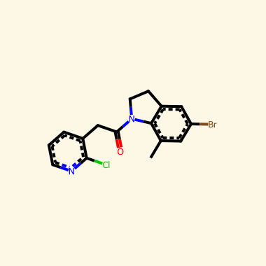 Cc1cc(Br)cc2c1N(C(=O)Cc1cccnc1Cl)CC2